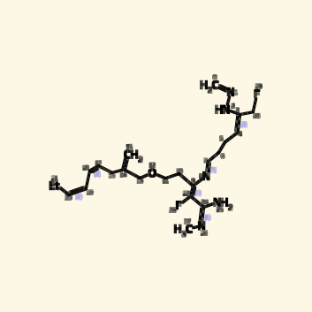 C=NN/C(=C\CC/C=N/C(CCOCC(=C)C/C=C\C=C/CC)=C(F)\C(N)=N/C)CF